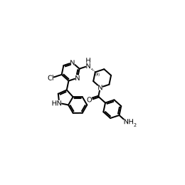 Nc1ccc(C(=O)N2CCC[C@@H](Nc3ncc(Cl)c(-c4c[nH]c5ccccc45)n3)C2)cc1